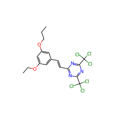 CCCOc1cc(C=Cc2nc(C(Cl)(Cl)Cl)nc(C(Cl)(Cl)Cl)n2)cc(OCC)c1